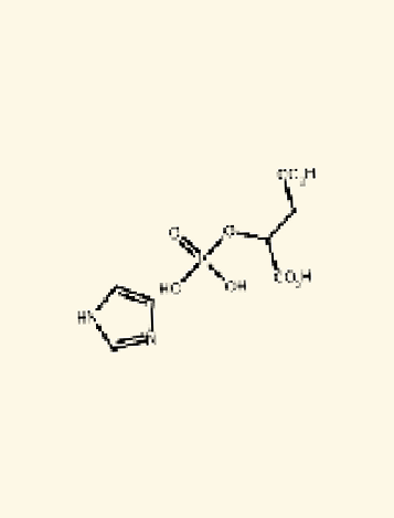 O=C(O)CC(OP(=O)(O)O)C(=O)O.c1c[nH]cn1